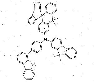 CC1(C)c2ccccc2-c2ccc(N(c3ccc(-c4cccc5c4oc4ccccc45)cc3)c3ccc4c(c3)C(C)(C)c3ccccc3C43c4ccccc4-c4ccccc43)cc21